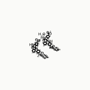 COC(=O)c1ccc2c(c1)NC(=O)C2=C(Nc1ccc(N(C)C(=O)CN2CCN(C)CC2)cc1)c1ccccc1.COC(=O)c1ccc2c(c1)NC(=O)C2=C(Nc1ccc(N(C)C(=O)CN2CCN(C)CC2)cc1)c1ccccc1.O